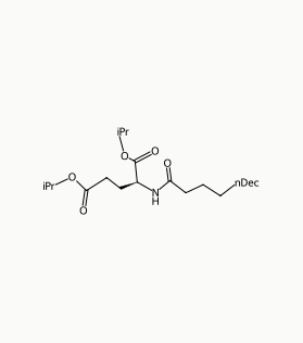 CCCCCCCCCCCCCC(=O)N[C@@H](CCC(=O)OC(C)C)C(=O)OC(C)C